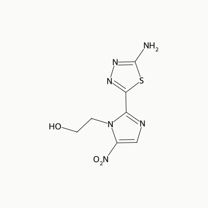 Nc1nnc(-c2ncc([N+](=O)[O-])n2CCO)s1